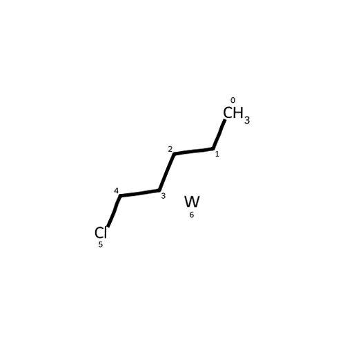 CCCCCCl.[W]